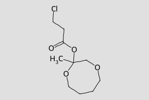 CC1(OC(=O)CCCl)COCCCCO1